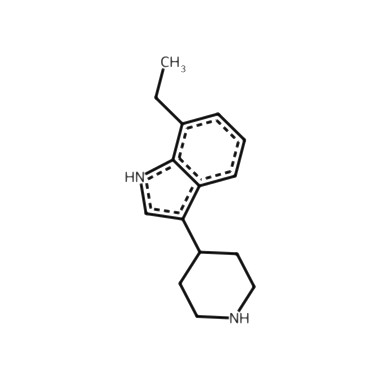 CCc1cccc2c(C3CCNCC3)c[nH]c12